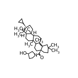 CC1(C)CC[C@]2(C(=O)N3CC[C@@H](O)C3)CC[C@]3(C)C(=C2C1)CC[C@@H]1[C@@]2(C)CC[C@H](C4CC4)C(C)(C)[C@@H]2CC[C@]13C